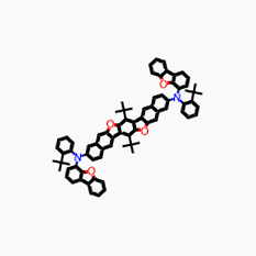 CC(C)(C)c1ccccc1N(c1ccc2cc3c(cc2c1)oc1c(C(C)(C)C)c2c(oc4cc5cc(N(c6ccccc6C(C)(C)C)c6cccc7c6oc6ccccc67)ccc5cc42)c(C(C)(C)C)c13)c1cccc2c1oc1ccccc12